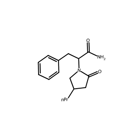 CCCC1CC(=O)N(C(Cc2ccccc2)C(N)=O)C1